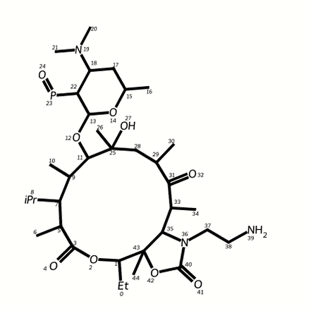 CCC1OC(=O)C(C)C(C(C)C)C(C)C(OC2OC(C)CC(N(C)C)C2P=O)C(C)(O)CC(C)C(=O)C(C)C2N(CCN)C(=O)OC12C